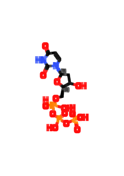 O=c1ccn([C@H]2CC(O)[C@@H](CO[PH](O)(O)OP(=O)(O)OP(=O)(O)O)O2)c(=O)[nH]1